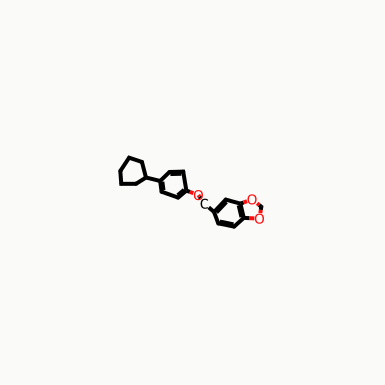 c1cc2c(cc1COc1ccc(C3CCCCC3)cc1)OCO2